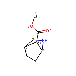 CCOC(=O)C1C2CCC1NC2